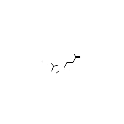 CC(=O)O.CC(O)C(=O)O.CCCC(=O)O